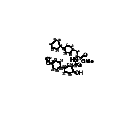 COC(=O)[C@H](Cc1ccc(-c2ccccc2)cc1)NC(=O)c1cc(-c2ccc(OC(F)(F)F)cc2)ccc1O